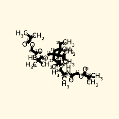 C=C(C)C(=O)OCC(=O)BC(C)(C)COCC(CCCC)(CC(C)(C)OCC(C)NC(=O)COC(=O)C(=C)C)C(C)(CC)C(=C)C